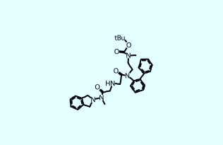 CN(CCN(C(=O)CNCC(=O)N(C)N1Cc2ccccc2C1)c1ccccc1-c1ccccc1)C(=O)OC(C)(C)C